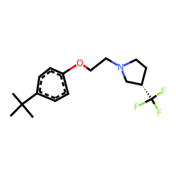 CC(C)(C)c1ccc(OCCN2CC[C@H](C(F)(F)F)C2)cc1